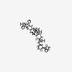 O=C1NC(=O)/C(=C/C2=CC=NC(N[C@H]3CC[C@H](NCc4cccc(-c5ccco5)c4)CC3)N2)S1